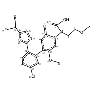 COCCC(C(=O)O)n1cc(OC)c(-c2cc(Cl)ccc2-c2nnc(C(F)F)o2)cc1=O